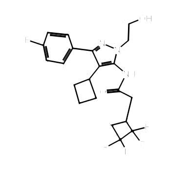 O=C(CC1CC(F)(F)C1(F)F)Nc1c(C2CCC2)c(-c2ccc(F)cc2)nn1CCO